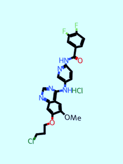 COc1cc2c(Nc3ccc(NC(=O)c4ccc(F)c(F)c4)nc3)ncnc2cc1OCCCCl.Cl